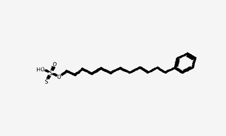 O=S(O)(=S)OCCCCCCCCCCCCc1ccccc1